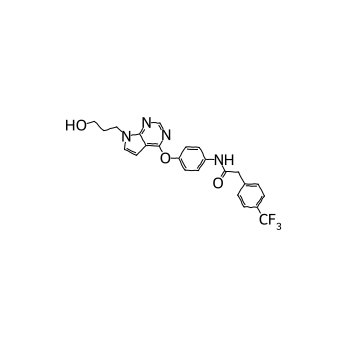 O=C(Cc1ccc(C(F)(F)F)cc1)Nc1ccc(Oc2ncnc3c2ccn3CCCO)cc1